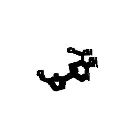 O=Cc1ccc(-c2cnc(O)c(C(=O)O)c2)s1